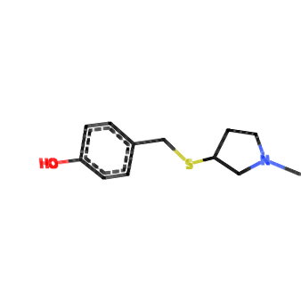 CN1CCC(SCc2ccc(O)cc2)C1